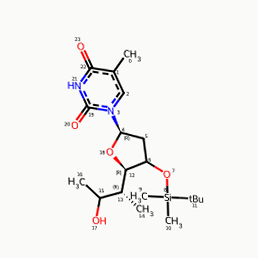 Cc1cn([C@H]2CC(O[Si](C)(C)C(C)(C)C)[C@@H]([C@H](C)C(C)O)O2)c(=O)[nH]c1=O